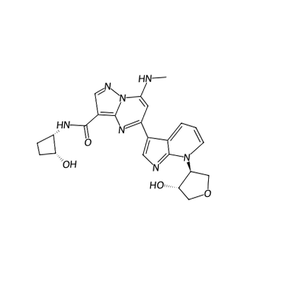 CNc1cc(-c2cnc3n([C@H]4COC[C@@H]4O)cccc2-3)nc2c(C(=O)N[C@H]3CC[C@H]3O)cnn12